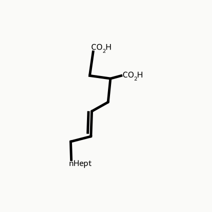 CCCCCCCCC=CCC(CC(=O)O)C(=O)O